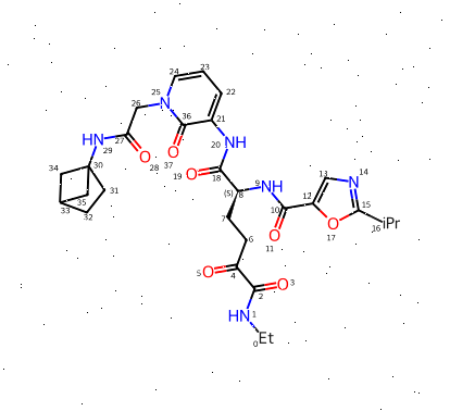 CCNC(=O)C(=O)CC[C@H](NC(=O)c1cnc(C(C)C)o1)C(=O)Nc1cccn(CC(=O)NC23CCC(C2)C3)c1=O